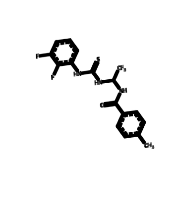 Cc1ccc(C(=O)NC(NC(=S)Nc2cccc(F)c2F)C(F)(F)F)cc1